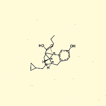 CCCC[C@]12CCN(CC3CC3)[C@H](Cc3ccc(O)cc31)[C@@H]2CC(=O)O